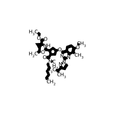 C=CCCCCN(C)C(=O)C1CC(Oc2nc(-n3ccc(C(C)C)n3)nc3c(C)c(OC)ccc23)CC1C(=O)NC1(C(=O)OCC)CC1C=C